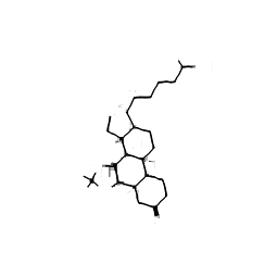 CC(C)CCC[C@@H](C)[C@H]1CC[C@H]2[C@@H]3[C@H]4OC(C)(C)O[C@@H]4[C@H]4CC(=O)CC[C@]4(C)[C@H]3CC[C@]12C